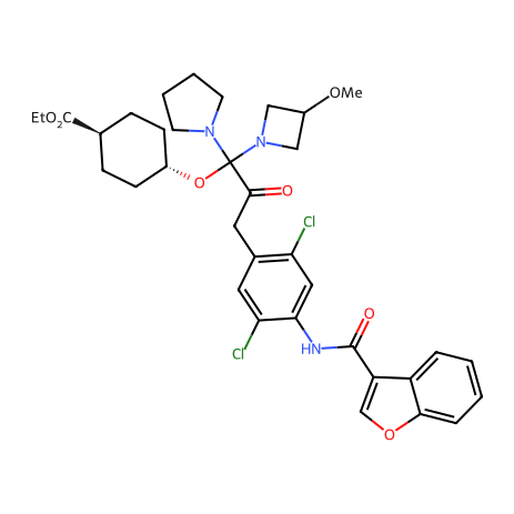 CCOC(=O)[C@H]1CC[C@H](OC(C(=O)Cc2cc(Cl)c(NC(=O)c3coc4ccccc34)cc2Cl)(N2CCCC2)N2CC(OC)C2)CC1